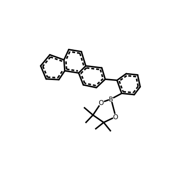 CC1(C)OB(c2ccccc2-c2ccc3c(ccc4ccccc43)c2)OC1(C)C